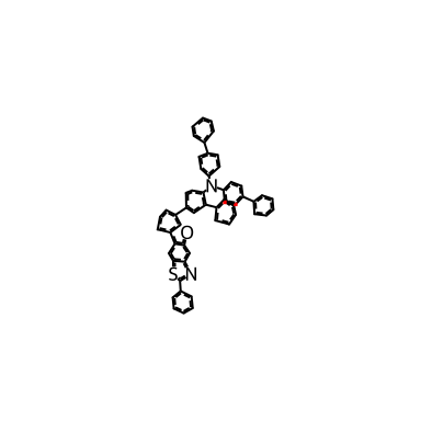 c1ccc(-c2ccc(N(c3ccc(-c4ccccc4)cc3)c3ccc(-c4cccc5c4oc4cc6nc(-c7ccccc7)sc6cc45)cc3-c3ccccc3)cc2)cc1